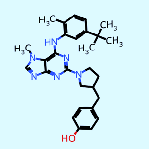 Cc1ccc(C(C)(C)C)cc1Nc1nc(N2CCC(Cc3ccc(O)cc3)C2)nc2ncn(C)c12